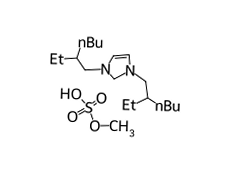 CCCCC(CC)CN1C=CN(CC(CC)CCCC)C1.COS(=O)(=O)O